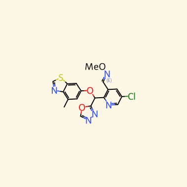 CO/N=C/c1cc(Cl)cnc1C(Oc1cc(C)c2ncsc2c1)c1nnco1